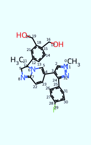 Cn1cc(C2=CN3C(=NC[C@@]3(C)c3ccc(CO)c(CO)c3)C=C2)c(-c2ccc(F)cc2)n1